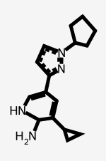 NC1NC=C(c2ccn(C3CCCC3)n2)C=C1C1CC1